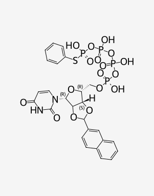 O=c1ccn([C@@H]2O[C@H](COP(=O)(O)OP(=O)(O)OP(=O)(O)OP(=O)(O)Sc3ccccc3)[C@@H]3OC(c4ccc5ccccc5c4)OC32)c(=O)[nH]1